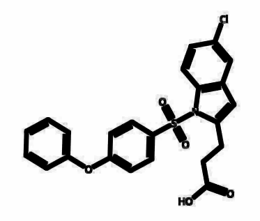 O=C(O)CCc1cc2cc(Cl)ccc2n1S(=O)(=O)c1ccc(Oc2ccccc2)cc1